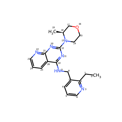 CCc1ncccc1CNc1nc(N2CCOC[C@@H]2C)nc2ncccc12